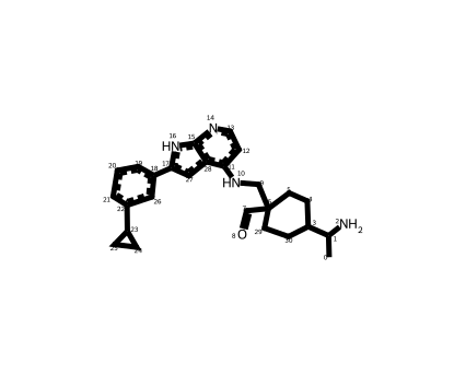 CC(N)C1CCC(C=O)(CNc2ccnc3[nH]c(-c4cccc(C5CC5)c4)cc23)CC1